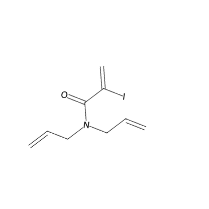 C=CCN(CC=C)C(=O)C(=C)I